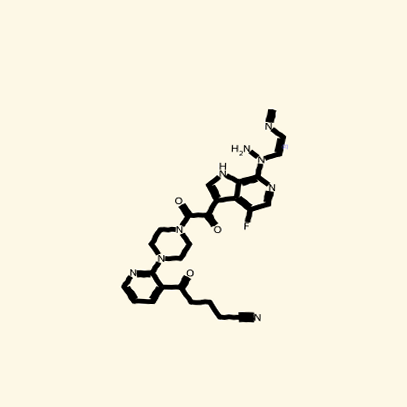 C=N/C=C\N(N)c1ncc(F)c2c(C(=O)C(=O)N3CCN(c4ncccc4C(=O)CCCC#N)CC3)c[nH]c12